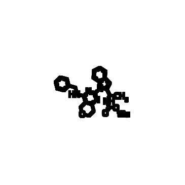 CC(NC(=O)OC(C)(C)C)c1cc2ccccc2n1-c1nc2c(c(NCc3ccccc3)n1)COCC2